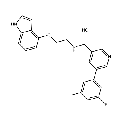 Cl.Fc1cc(F)cc(-c2cncc(CNCCOc3cccc4[nH]ccc34)c2)c1